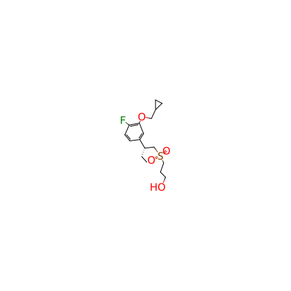 CC[C@@H](CS(=O)(=O)CCCO)c1ccc(F)c(OCC2CC2)c1